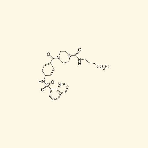 CCOC(=O)CCCNC(=O)N1CCN(C(=O)C2=CCC(NS(=O)(=O)c3cccc4cccnc34)C=C2)CC1